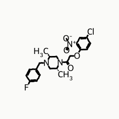 C[C@@H]1CN(Cc2ccc(F)cc2)[C@@H](C)CN1C(=O)COc1ccc(Cl)cc1[N+](=O)[O-]